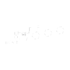 CCCCCCCCC1(OCCCCCCC)C=CC(c2ccc(-c3ccc(-c4ccccc4)cc3)c(F)c2F)=CC1